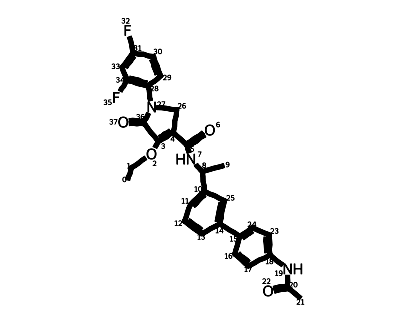 CCOC1=C(C(=O)NC(C)c2cccc(-c3ccc(NC(C)=O)cc3)c2)CN(c2ccc(F)cc2F)C1=O